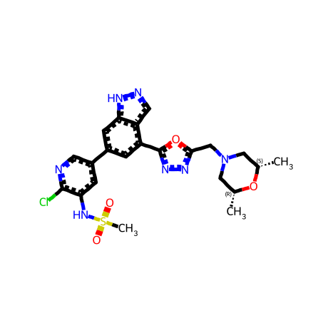 C[C@@H]1CN(Cc2nnc(-c3cc(-c4cnc(Cl)c(NS(C)(=O)=O)c4)cc4[nH]ncc34)o2)C[C@H](C)O1